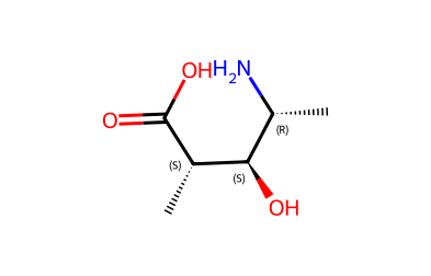 C[C@H](C(=O)O)[C@H](O)[C@@H](C)N